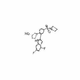 O=S(=O)(c1ccc(N2CC[C@H](O)C2)c(-c2cc3c(F)cc(F)cc3[nH]2)c1)N1CCC1